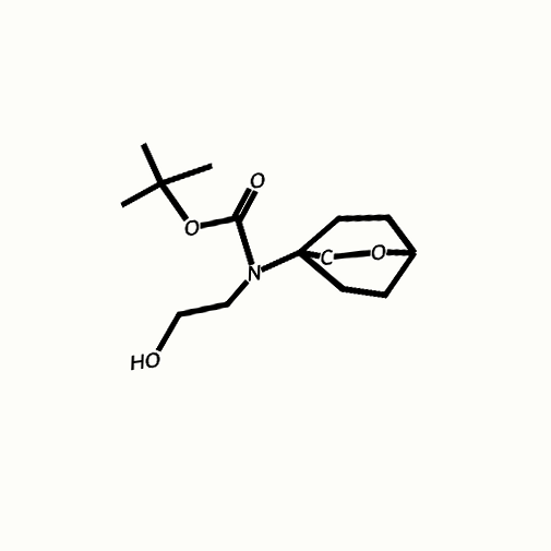 CC(C)(C)OC(=O)N(CCO)C12CCC(CC1)OC2